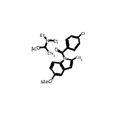 CCN(CC)C(C)OC(C)=O.COc1ccc2c(c1)cc(C)n2C(=O)c1ccc(Cl)cc1